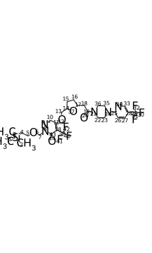 C[Si](C)(C)CCOCn1ncc(OCC2CCC(CC(=O)N3CCN(c4ccc(C(F)(F)F)cn4)CC3)O2)c(C(F)(F)F)c1=O